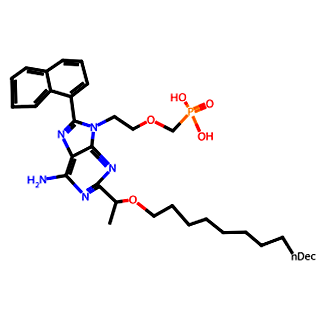 CCCCCCCCCCCCCCCCCCOC(C)c1nc(N)c2nc(-c3cccc4ccccc34)n(CCOCP(=O)(O)O)c2n1